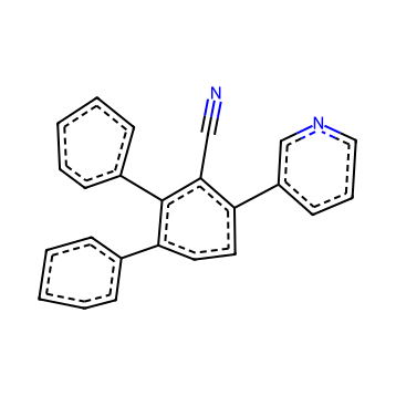 N#Cc1c(-c2cccnc2)ccc(-c2ccccc2)c1-c1ccccc1